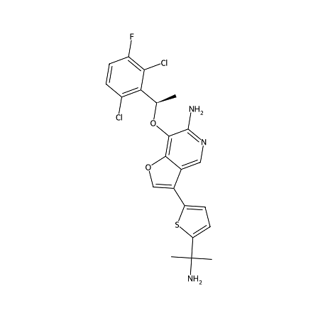 C[C@@H](Oc1c(N)ncc2c(-c3ccc(C(C)(C)N)s3)coc12)c1c(Cl)ccc(F)c1Cl